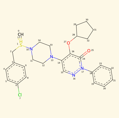 C#[SH](Cc1ccc(Cl)cc1)N1CCN(c2cnn(-c3ccccc3)c(=O)c2OC2CCCC2)CC1